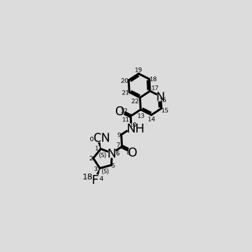 N#C[C@@H]1C[C@H]([18F])CN1C(=O)CNC(=O)c1ccnc2ccccc12